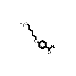 CCCCCCOc1ccc([C](=O)[Na])cc1